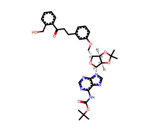 CC(C)(C)OC(=O)Nc1ncnc2c1ncn2[C@@H]1O[C@H](COc2cccc(CCC(=O)c3ccccc3CO)c2)[C@H]2OC(C)(C)O[C@H]21